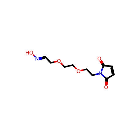 O=C1C=CC(=O)N1CCOCCOC/C=N/O